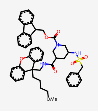 COCCCCC1(CNC(=O)C2CC(NS(=O)(=O)Cc3ccccc3)CN(C(=O)OCC3c4ccccc4-c4ccccc43)C2)c2ccccc2Oc2ccccc21